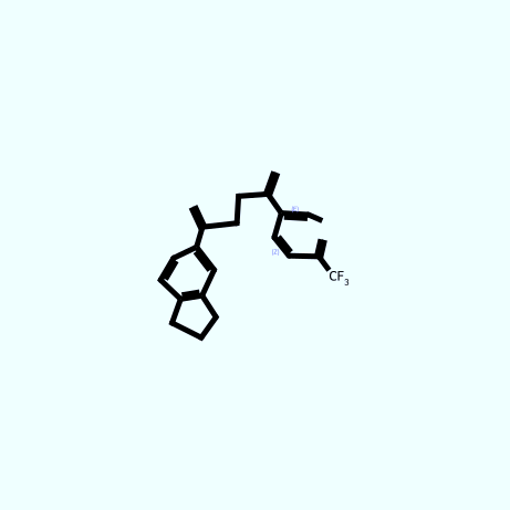 C=C(CCC(=C)c1ccc2c(c1)CCC2)C(/C=C\C(=C)C(F)(F)F)=C/C